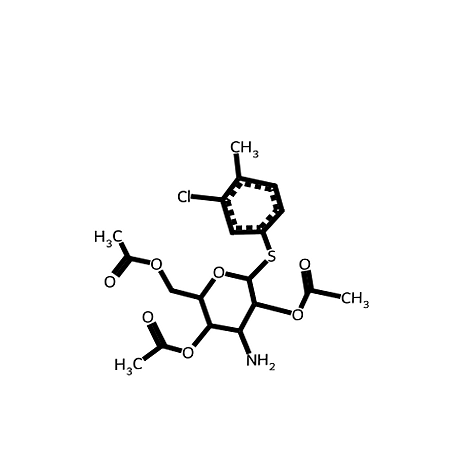 CC(=O)OCC1OC(Sc2ccc(C)c(Cl)c2)C(OC(C)=O)C(N)C1OC(C)=O